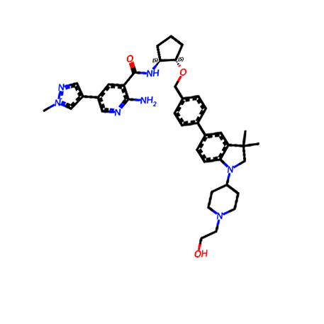 Cn1cc(-c2cnc(N)c(C(=O)N[C@H]3CCC[C@@H]3OCc3ccc(-c4ccc5c(c4)C(C)(C)CN5C4CCN(CCO)CC4)cc3)c2)cn1